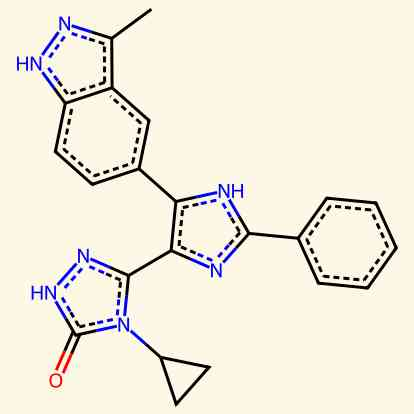 Cc1n[nH]c2ccc(-c3[nH]c(-c4ccccc4)nc3-c3n[nH]c(=O)n3C3CC3)cc12